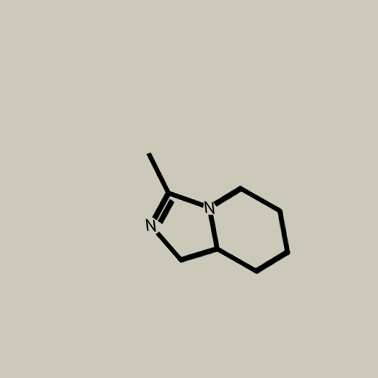 CC1=NCC2CCCCN12